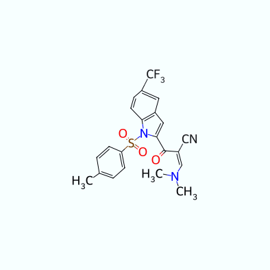 Cc1ccc(S(=O)(=O)n2c(C(=O)/C(C#N)=C\N(C)C)cc3cc(C(F)(F)F)ccc32)cc1